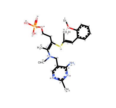 CCOc1ccccc1/C=C(/S/C(CCOP(=O)(O)O)=C(/C)N(C=O)Cc1cnc(C)nc1N)C(=O)O